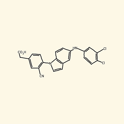 N#Cc1cc(CC(=O)O)ccc1-n1ccc2cc(Nc3ccc(Cl)c(Cl)c3)ccc21